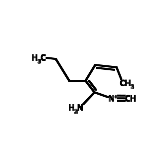 C#[N+]/C(N)=C(\C=C/C)CCC